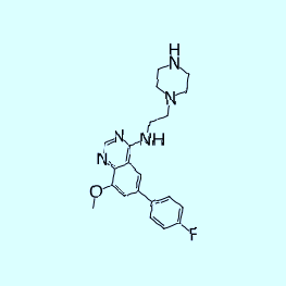 COc1cc(-c2ccc(F)cc2)cc2c(NCCN3CCNCC3)ncnc12